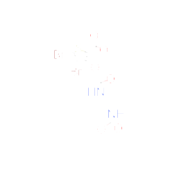 COC(=O)c1sc(Br)c(Br)c1OCC(=O)NCCNC(=O)OC(C)(C)C